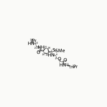 CSSC(NCCOCC(=O)NC#CC(C)C)c1ccc(C(=O)NCCNC(C)C)cc1